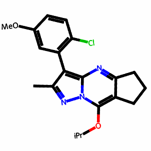 COc1ccc(Cl)c(-c2c(C)nn3c(OC(C)C)c4c(nc23)CCC4)c1